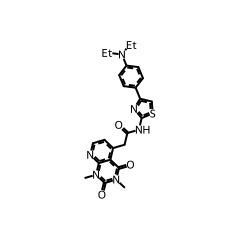 CCN(CC)c1ccc(-c2csc(NC(=O)Cc3ccnc4c3c(=O)n(C)c(=O)n4C)n2)cc1